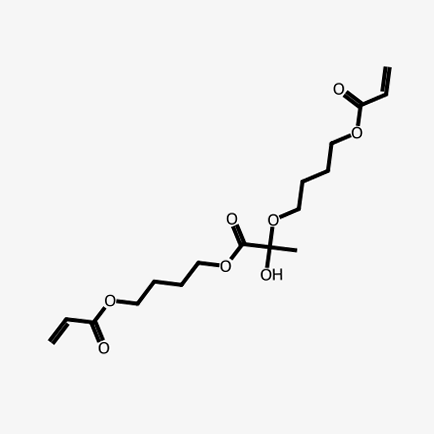 C=CC(=O)OCCCCOC(=O)C(C)(O)OCCCCOC(=O)C=C